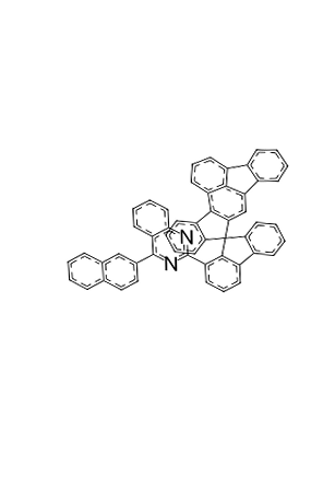 c1ccc2c(c1)-c1cccc3c4c(cc-2c13)C1(c2ccccc2-c2cccc(-c3nc(-c5ccc6ccccc6c5)c5ccccc5n3)c21)c1ccccc1-4